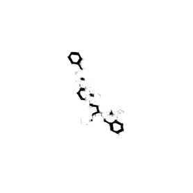 O=C(Nc1ccn([C@H]2C[C@H](OCc3ccccc3[N+](=O)[O-])[C@@H](CO)O2)c(=O)n1)OCc1ccccc1